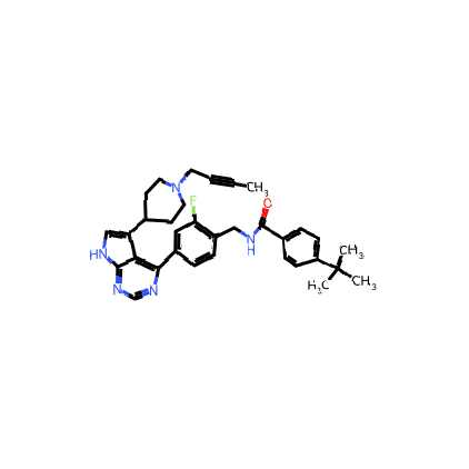 CC#CCN1CCC(c2c[nH]c3ncnc(-c4ccc(CNC(=O)c5ccc(C(C)(C)C)cc5)c(F)c4)c23)CC1